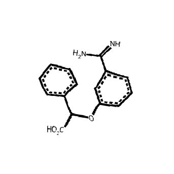 N=C(N)c1cccc(OC(C(=O)O)c2ccccc2)c1